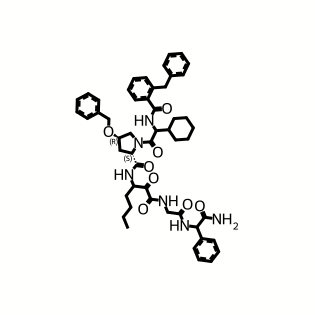 CCCCC(NC(=O)[C@@H]1C[C@@H](OCc2ccccc2)CN1C(=O)C(NC(=O)c1ccccc1Cc1ccccc1)C1CCCCC1)C(=O)C(=O)NCC(=O)NC(C(N)=O)c1ccccc1